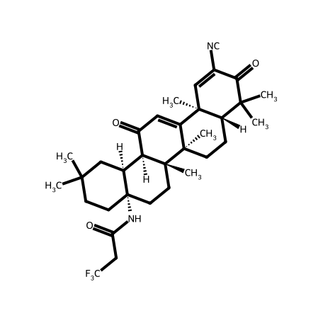 [C-]#[N+]C1=C[C@]2(C)C3=CC(=O)[C@@H]4[C@@H]5CC(C)(C)CC[C@]5(NC(=O)CC(F)(F)F)CC[C@@]4(C)[C@]3(C)CC[C@H]2C(C)(C)C1=O